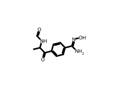 CC(NC=O)C(=O)c1ccc(C(N)=NO)cc1